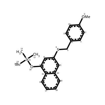 COc1ccc(CSc2cc(O[Si](C)(C)C(C)(C)C)c3ccccc3c2)cc1